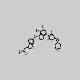 COC(=O)CC1COc2cc(O[C@@H]3CCc4c(-c5c(C)cc(OC6CCOCC6)cc5C)cc(F)c(F)c43)ccc21